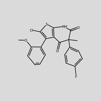 COc1ccccc1-c1c(Cl)sc2c1C(=O)C(C)(c1ccc(F)cc1)C(=O)N2